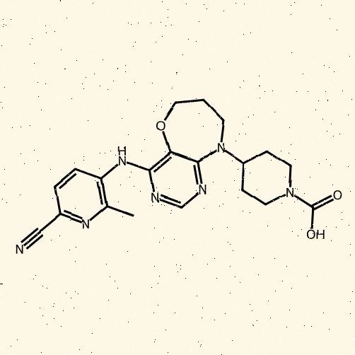 Cc1nc(C#N)ccc1Nc1ncnc2c1OCCCN2C1CCN(C(=O)O)CC1